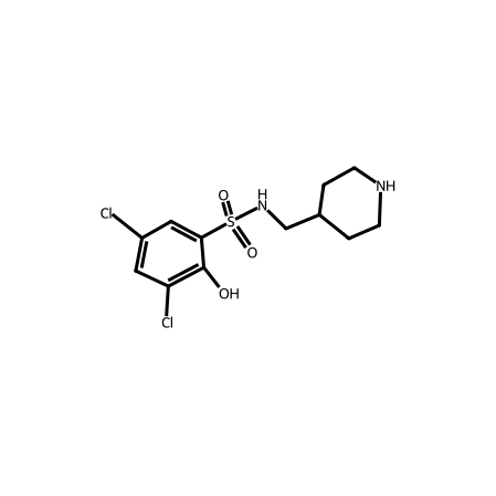 O=S(=O)(NCC1CCNCC1)c1cc(Cl)cc(Cl)c1O